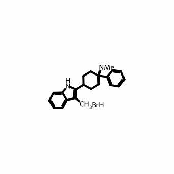 Br.CNC1(c2ccccc2)CCC(c2[nH]c3ccccc3c2C)CC1